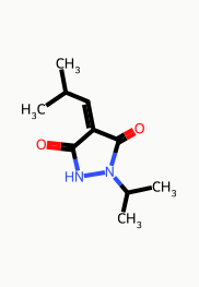 CC(C)/C=C1\C(=O)NN(C(C)C)C1=O